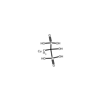 CC(O)(P(=O)(O)O)P(=O)(O)O.[Cu]